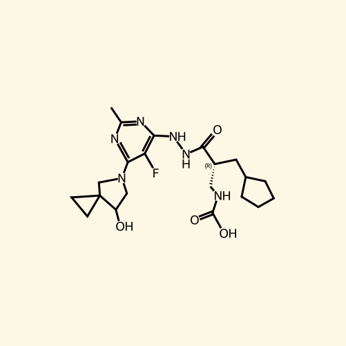 Cc1nc(NNC(=O)[C@@H](CNC(=O)O)CC2CCCC2)c(F)c(N2CC(O)C3(CC3)C2)n1